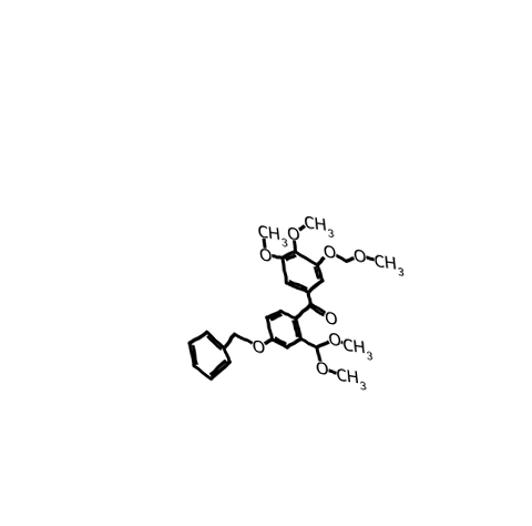 COCOc1cc(C(=O)c2ccc(OCc3ccccc3)cc2C(OC)OC)cc(OC)c1OC